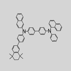 CC1(C)CCC(C)(C)c2cc(-c3ccc(N(c4ccc(-c5ccc(N(c6ccccc6)c6cccc7ccccc67)cc5)cc4)c4ccc5ccccc5c4)cc3)ccc21